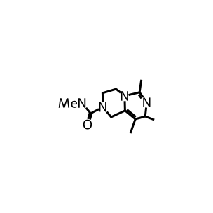 CNC(=O)N1CCN2C(C)=NC(C)C(C)=C2C1